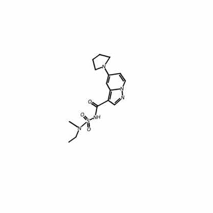 CCN(C)S(=O)(=O)NC(=O)c1cnn2ccc(N3CCCC3)cc12